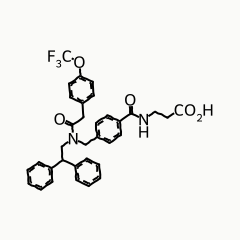 O=C(O)CCNC(=O)c1ccc(CN(CC(c2ccccc2)c2ccccc2)C(=O)Cc2ccc(OC(F)(F)F)cc2)cc1